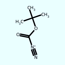 CC(C)(C)OC(=O)[N+]#N